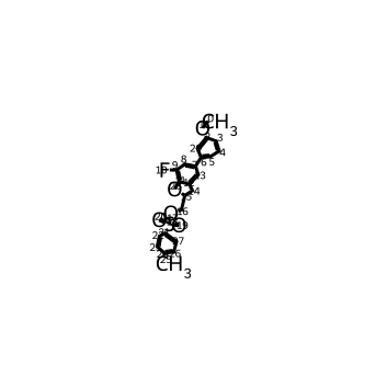 COc1cccc(-c2cc(F)c3c(c2)CC(COS(=O)(=O)c2ccc(C)cc2)O3)c1